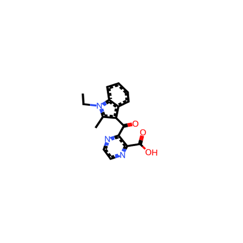 CCn1c(C)c(C(=O)c2nccnc2C(=O)O)c2ccccc21